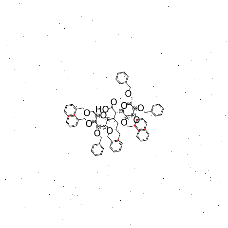 CCCCCC(C(C(=O)O)[C@@H]1O[C@H](COCc2ccccc2)[C@@H](OCc2ccccc2)[C@H](OCc2ccccc2)[C@H]1OCc1ccccc1)[C@@H]1O[C@H](COCc2ccccc2)[C@@H](OCc2ccccc2)[C@H](OCc2ccccc2)[C@H]1OCc1ccccc1